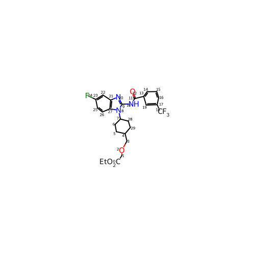 CCOC(=O)COCC1CCC(n2c(NC(=O)c3cccc(C(F)(F)F)c3)nc3cc(F)ccc32)CC1